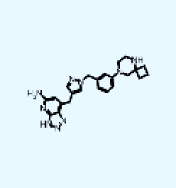 Nc1cc(Cc2cnn(Cc3cccc(N4CCNC5(CCC5)C4)c3)c2)c2nn[nH]c2n1